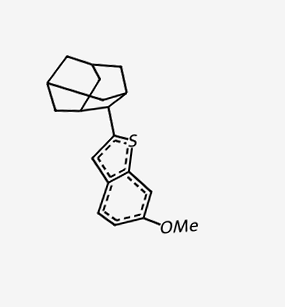 COc1ccc2cc(C3C4CC5CC(C4)CC3C5)sc2c1